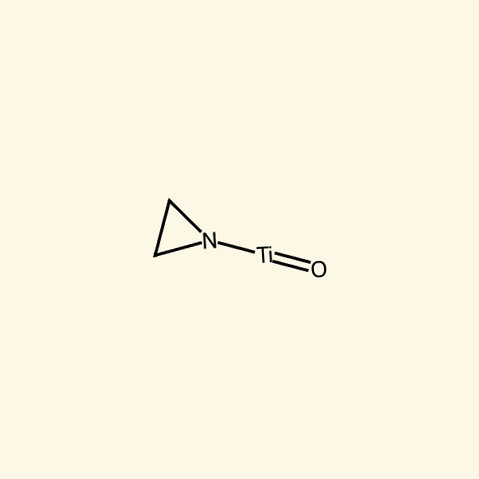 [O]=[Ti][N]1CC1